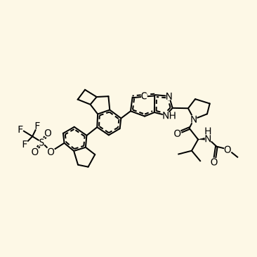 COC(=O)N[C@H](C(=O)N1CCCC1c1nc2ccc(-c3ccc(-c4ccc(OS(=O)(=O)C(F)(F)F)c5c4CCC5)c4c3CC3CCC43)cc2[nH]1)C(C)C